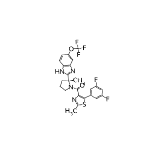 Cc1nc(C(=O)N2CCCC2(C)c2nc3cc(OC(F)(F)F)ccc3[nH]2)c(-c2cc(F)cc(F)c2)s1